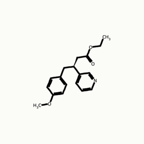 CCOC(=O)C[C@H](Cc1ccc(OC)cc1)c1cccnc1